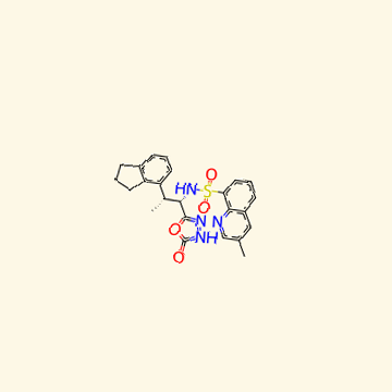 Cc1cnc2c(S(=O)(=O)N[C@H](c3n[nH]c(=O)o3)[C@H](C)c3cccc4c3CCC4)cccc2c1